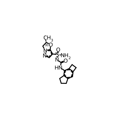 C[C@@H]1Cn2ncc([S@](N)(=O)=NC(=O)Nc3c4c(cc5c3CC5)CCC4)c2O1